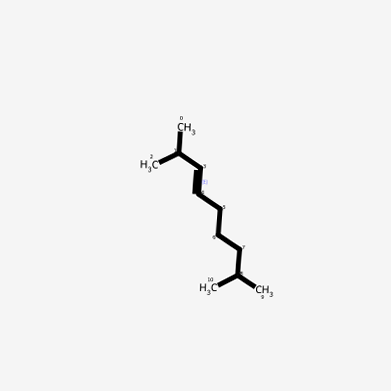 CC(C)/C=C/CCCC(C)C